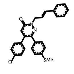 CSc1ccc(-c2nn(CC=Cc3ccccc3)c(=O)cc2-c2ccc(Cl)cc2)cc1